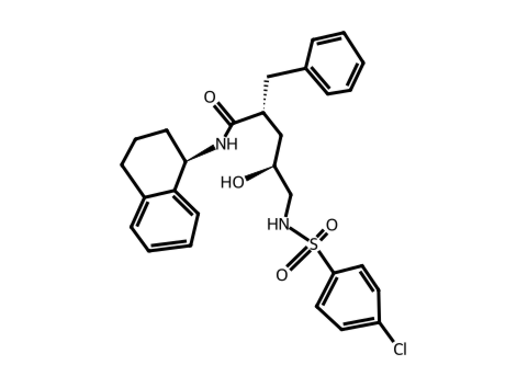 O=C(N[C@@H]1CCCc2ccccc21)[C@H](Cc1ccccc1)C[C@H](O)CNS(=O)(=O)c1ccc(Cl)cc1